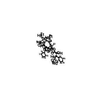 CCBOC1C[C@H]2OC[C@@]2(OC(C)=O)[C@H]2[C@H](OC(=O)c3ccccc3)[C@]3(O)C[C@H](OC(=O)[C@H](O)[C@@H](NC(=O)OC(C)(C)C)c4ccccc4)C(C)=C([C@@H](OBCC)C(=O)[C@]12C)C3(C)C